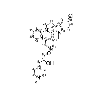 CN1CCN(C[C@H](O)COc2ccc([C@H]3c4[nH]c5ccc(Cl)cc5c4CCN3c3ncccn3)cc2)CC1